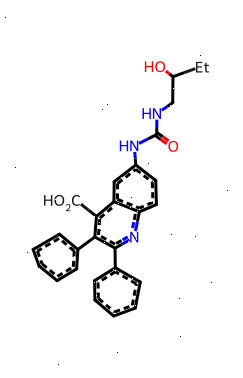 CCC(O)CNC(=O)Nc1ccc2nc(-c3ccccc3)c(-c3ccccc3)c(C(=O)O)c2c1